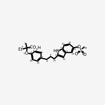 CCC(C)(Oc1ccc(CCCc2cc3cc(OS(C)(=O)=O)ccc3[nH]2)cc1)C(=O)O